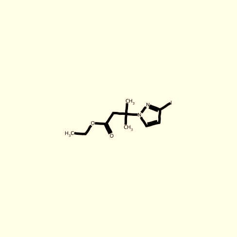 CCOC(=O)CC(C)(C)n1ccc(I)n1